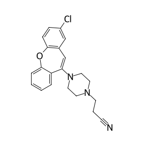 N#CCCN1CCN(C2=Cc3cc(Cl)ccc3Oc3ccccc32)CC1